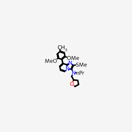 CCCN(CC1CCCO1)c1c(SC)nc2c(-c3c(OC)cc(C)cc3OC)cccn12